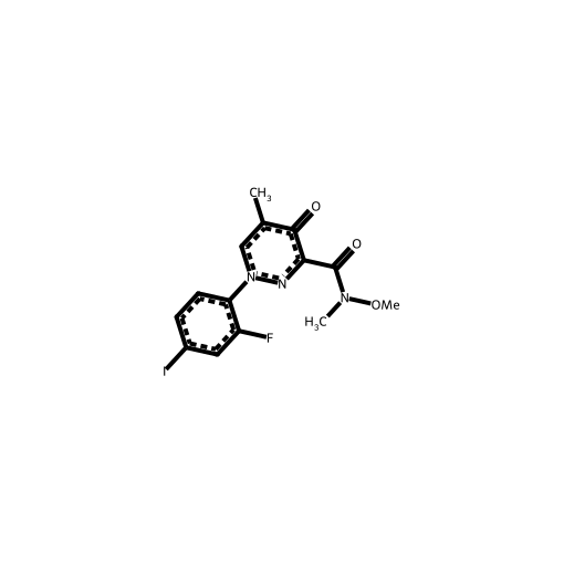 CON(C)C(=O)c1nn(-c2ccc(I)cc2F)cc(C)c1=O